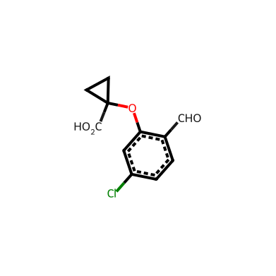 O=Cc1ccc(Cl)cc1OC1(C(=O)O)CC1